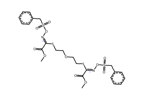 COC(=O)/C(=N/OS(=O)(=O)Cc1ccccc1)SCCOCCS/C(=N\OS(=O)(=O)Cc1ccccc1)C(=O)OC